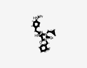 CC(C)Nc1ccc(Cc2nc3c([nH]2)c(=O)n(Cc2ccccc2F)c(=O)n3CC2CC2)cc1